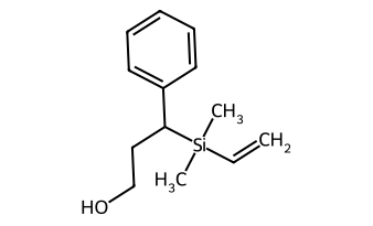 C=C[Si](C)(C)C(CCO)c1ccccc1